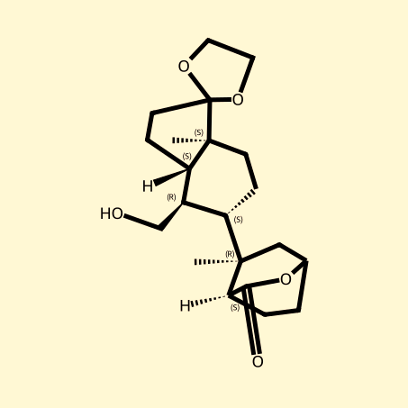 C[C@]1([C@H]2CC[C@@]3(C)[C@@H](CCC34OCCO4)[C@@H]2CO)CC2CC[C@@H]1C(=O)O2